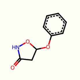 O=C1CC(Oc2ccccc2)ON1